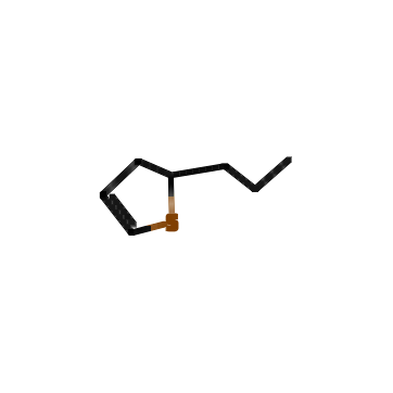 CCCC1CC=CS1